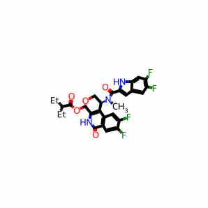 CCC(CC)C(=O)OC1OC[C@@H](N(C)C(=O)c2cc3cc(F)c(F)cc3[nH]2)c2c1[nH]c(=O)c1cc(F)c(F)cc21